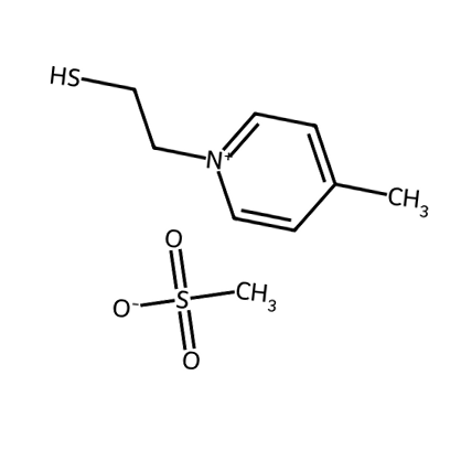 CS(=O)(=O)[O-].Cc1cc[n+](CCS)cc1